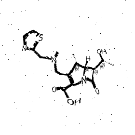 C[C@@H](O)[C@H]1C(=O)N2C(C(=O)O)=C(CN(C)Cc3nccs3)[C@H](C)[C@H]12